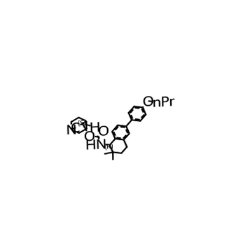 CCCOc1ccc(-c2ccc3c(c2)CCC(C)(C)[C@H]3NC(=O)O[C@@H]2CN3CCC2CC3)cc1